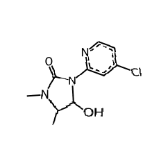 CC1C(O)N(c2cc(Cl)ccn2)C(=O)N1C